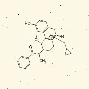 CN(C(=O)c1ccccc1)C1CC[C@@]2(O)[C@H]3Cc4ccc(O)c5c4[C@@]2(CCN3CC2CC2)C1O5